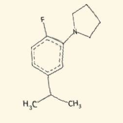 CC(C)c1ccc(F)c(N2CCCC2)c1